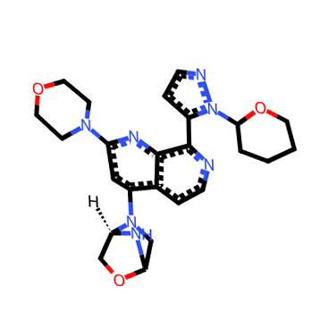 c1cc2c(N3CC4N[C@H]3CO4)cc(N3CCOCC3)nc2c(-c2ccnn2C2CCCCO2)n1